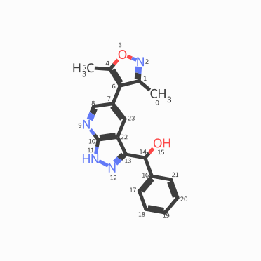 Cc1noc(C)c1-c1cnc2[nH]nc(C(O)c3ccccc3)c2c1